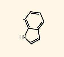 [c]1cc2ccc[c]c2[nH]1